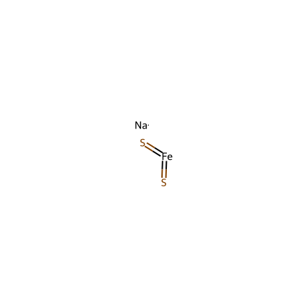 [Na].[S]=[Fe]=[S]